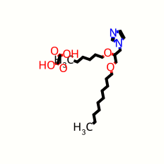 CCCCCCCCCCOCC(Cn1ccnc1)OCCCCCC.O=C(O)C(=O)O